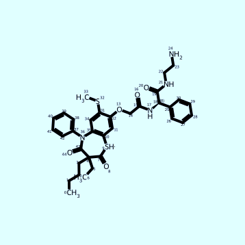 CCCCC1(CC)C(=O)[SH]c2cc(OCC(=O)N[C@@H](C(=O)NCCN)c3ccccc3)c(SC)cc2N(c2ccccc2)C1=O